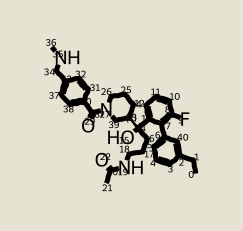 CCc1cccc(-c2c(F)cccc2C(O)(CCCNC(C)=O)[C@@H]2CCCN(C(=O)c3ccc(CNC)cc3)C2)c1